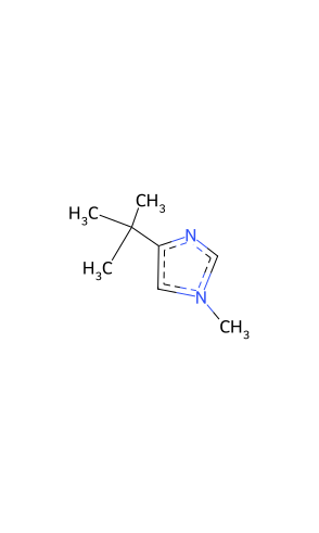 Cn1cnc(C(C)(C)C)c1